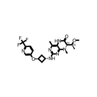 CO[C@@H](C)[C@H]1C(=O)Nc2c(C)nc(N[C@H]3C[C@H](Oc4ccc(C(F)(F)F)nc4)C3)nc2N1C